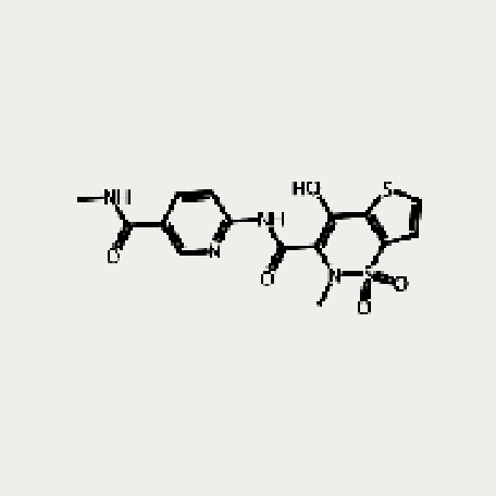 CNC(=O)c1ccc(NC(=O)C2=C(O)c3sccc3S(=O)(=O)N2C)nc1